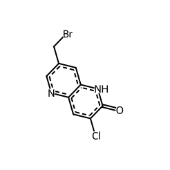 O=c1[nH]c2cc(CBr)cnc2cc1Cl